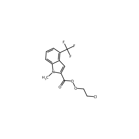 Cn1c(C(=O)OOCCCl)cc2c(C(F)(F)F)cccc21